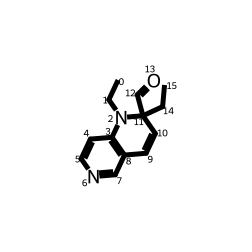 CCN1c2ccncc2C=CC1(C=O)CC